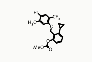 CCc1cc(C(F)(F)F)c(OCc2c(OC(=O)OC)cccc2C2CC2)cc1C